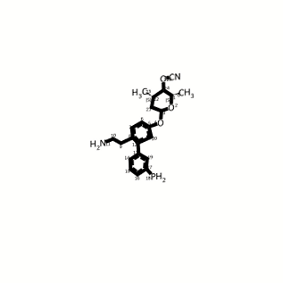 C[C@@H]1OC(Oc2ccc(CCN)c(-c3cccc(P)c3)c2)C[C@H](C)C1OC#N